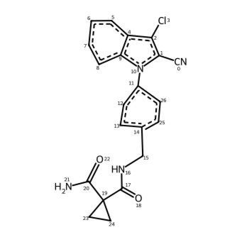 N#Cc1c(Cl)c2ccccc2n1-c1ccc(CNC(=O)C2(C(N)=O)CC2)cc1